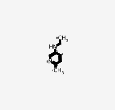 CCNc1ccc(C)nc1